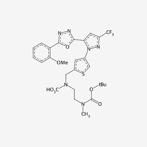 COc1ccccc1-c1nnc(-c2cc(C(F)(F)F)nn2-c2csc(CN(CCN(C)C(=O)OC(C)(C)C)C(=O)O)c2)o1